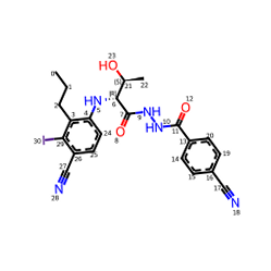 CCCc1c(N[C@@H](C(=O)NNC(=O)c2ccc(C#N)cc2)[C@H](C)O)ccc(C#N)c1I